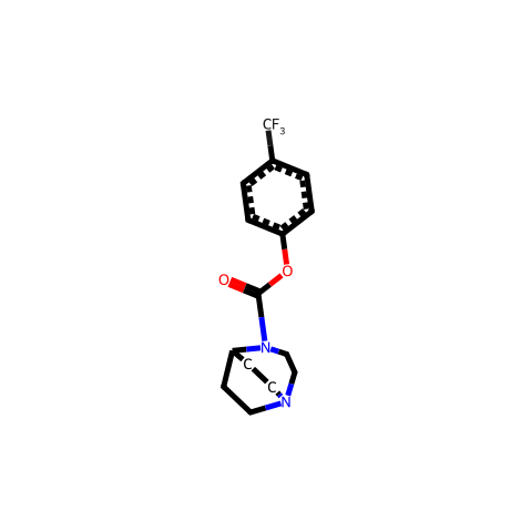 O=C(Oc1ccc(C(F)(F)F)cc1)N1CCN2CCC1CC2